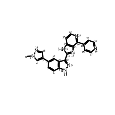 Cn1cc(-c2ccc3[nH]nc(-c4nc5c(-c6ccncc6)nccc5[nH]4)c3c2)cn1